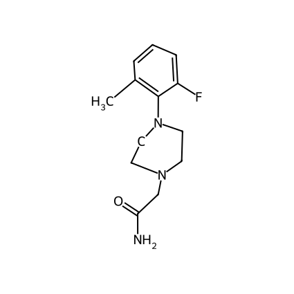 Cc1cccc(F)c1N1CCN(CC(N)=O)CC1